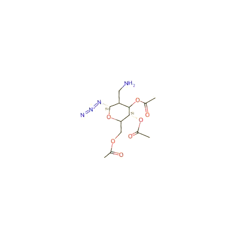 CC(=O)OCC1O[C@H](N=[N+]=[N-])C(CN)C(OC(C)=O)[C@@H]1OC(C)=O